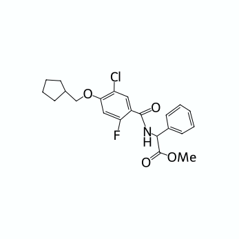 COC(=O)C(NC(=O)c1cc(Cl)c(OCC2CCCC2)cc1F)c1ccccc1